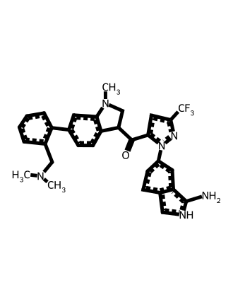 CN(C)Cc1ccccc1-c1ccc2c(c1)N(C)CC2C(=O)c1cc(C(F)(F)F)nn1-c1ccc2c[nH]c(N)c2c1